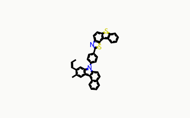 C/C=C\c1cc2c(cc1C)c1c3ccccc3ccc1n2-c1ccc(-c2nc3ccc4sc5ccccc5c4c3s2)cc1